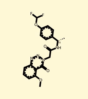 COc1cccc2nnn(CC(=O)N[C@@H](C)c3ccc(OC(F)F)cc3)c(=O)c12